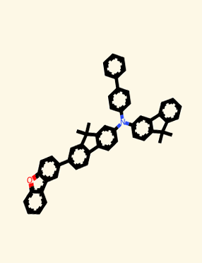 CC1(C)c2ccccc2-c2cc(N(c3ccc(-c4ccccc4)cc3)c3ccc4c(c3)C(C)(C)c3cc(-c5ccc6oc7ccccc7c6c5)ccc3-4)ccc21